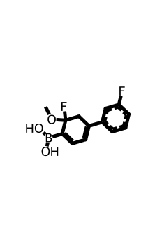 COC1(F)CC(c2cccc(F)c2)=CC=C1B(O)O